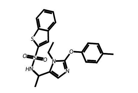 CCn1c(C(C)NS(=O)(=O)c2cc3ccccc3s2)cnc1Oc1ccc(C)cc1